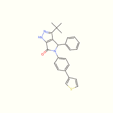 CC(C)(C)c1n[nH]c2c1C(c1ccccc1)N(c1ccc(-c3ccsc3)cc1)C2=O